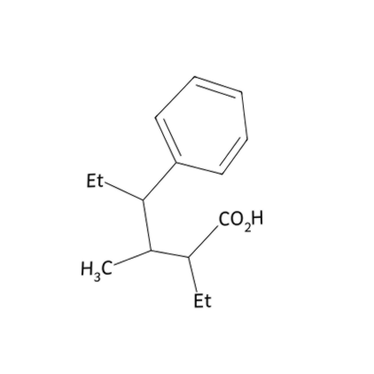 CCC(C(=O)O)C(C)C(CC)c1ccccc1